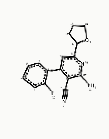 N#Cc1c(-c2ccccc2F)cc(C2CCCO2)nc1N